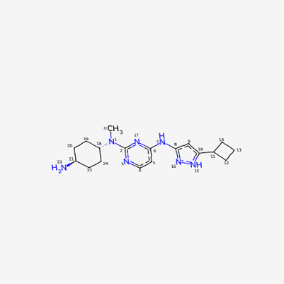 CN(c1nccc(Nc2cc(C3CCC3)[nH]n2)n1)[C@H]1CC[C@H](N)CC1